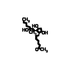 CCCCC[C@](C)(O)/C=C/[C@@H]1[C@@H](C/C=C\CCCC(C)=O)[C@@H](O)C[C@H]1O